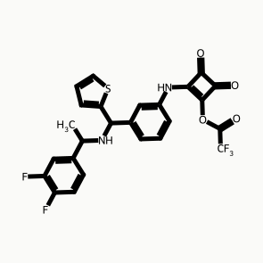 CC(NC(c1cccc(Nc2c(OC(=O)C(F)(F)F)c(=O)c2=O)c1)c1cccs1)c1ccc(F)c(F)c1